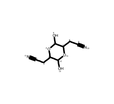 N#CCC1OC(O)C(CC#N)OC1O